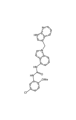 COc1ccc(Cl)cc1NC(=O)Nc1cccc2c1ccn2Cc1c[nH]c2ncccc12